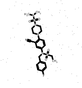 CCS(=O)(=O)N(Cc1ccc(F)cc1)c1ccc(N2CCN(S(=O)(=O)N(C)C)CC2)c(C#N)c1